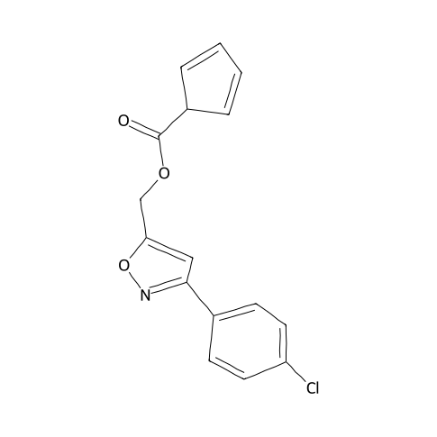 O=C(OCc1cc(-c2ccc(Cl)cc2)no1)C1C=CC=C1